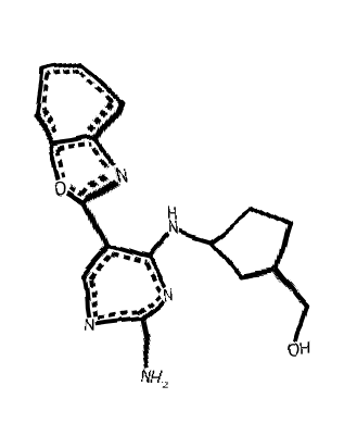 Nc1ncc(-c2nc3ccccc3o2)c(NC2CCC(CO)C2)n1